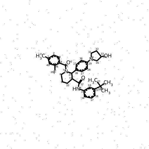 Cc1ccc(C(=O)N2CCCC(C(=O)Nc3cccc(C(C)(C)C)c3)C2c2ccc(N3CCC(O)C3)cc2)c(F)c1